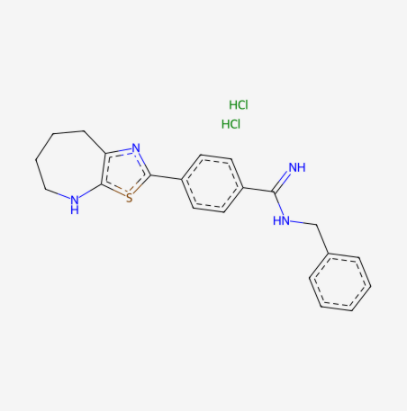 Cl.Cl.N=C(NCc1ccccc1)c1ccc(-c2nc3c(s2)NCCCC3)cc1